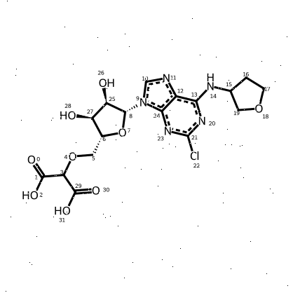 O=C(O)C(OC[C@H]1O[C@@H](n2cnc3c(NC4CCOC4)nc(Cl)nc32)[C@H](O)[C@@H]1O)C(=O)O